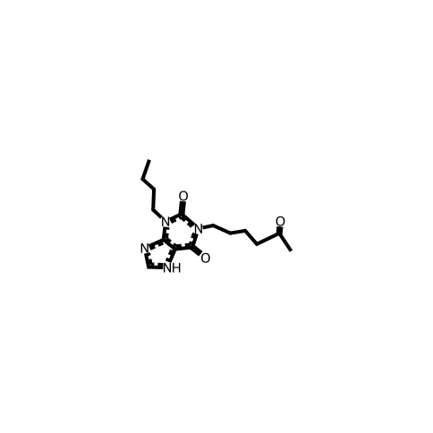 CCCCn1c(=O)n(CCCCC(C)=O)c(=O)c2[nH]cnc21